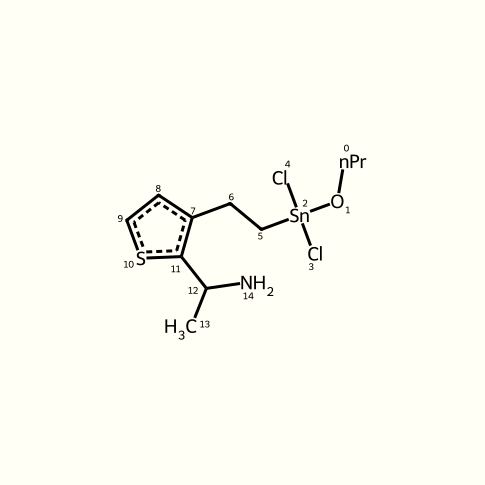 CCC[O][Sn]([Cl])([Cl])[CH2]Cc1ccsc1C(C)N